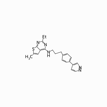 CCc1nc(NCCCc2ccc(-c3ccnnc3)cc2)c2cc(C)sc2n1